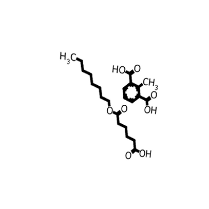 CCCCCCCCOC(=O)CCCCC(=O)O.Cc1c(C(=O)O)cccc1C(=O)O